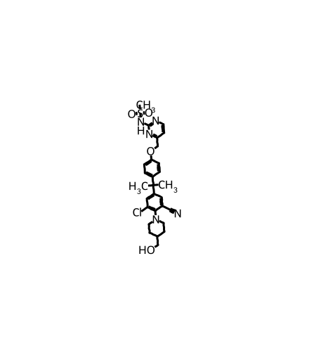 CC(C)(c1ccc(OCc2ccnc(NS(C)(=O)=O)n2)cc1)c1cc(Cl)c(N2CCC(CO)CC2)c(C#N)c1